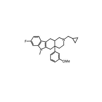 COc1cccc(C23CCN(CC4CC4)CC2Cc2c(n(C)c4cc(F)ccc24)C3)c1